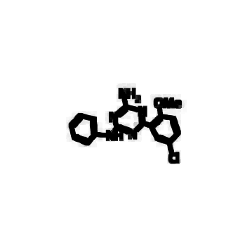 COc1ccc(Cl)cc1-c1nc(N)nc(Nc2ccccc2)n1